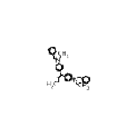 C=CC=C(c1ccc(N(CC)Cc2ccccc2)cc1)c1ccc(N(CC)Cc2ccccc2)cc1